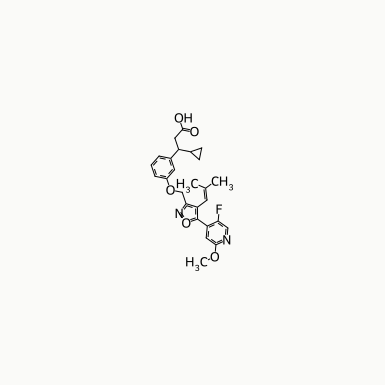 COc1cc(-c2onc(COc3cccc(C(CC(=O)O)C4CC4)c3)c2C=C(C)C)c(F)cn1